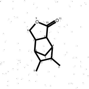 CC1C(C)C2CC1C1COC(=O)C21